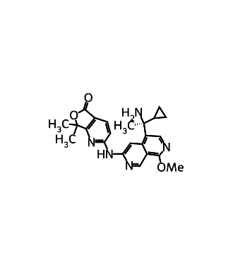 COc1ncc([C@@](C)(N)C2CC2)c2cc(Nc3ccc4c(n3)C(C)(C)OC4=O)ncc12